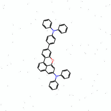 c1ccc(N(c2ccccc2)c2ccc(-c3ccc4c(c3)Oc3cc(N(c5ccccc5)c5ccccc5)cc5cccc-4c35)cc2)cc1